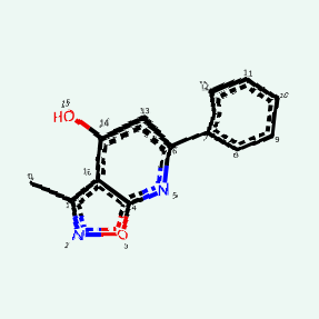 Cc1noc2nc(-c3ccccc3)cc(O)c12